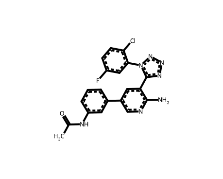 CC(=O)Nc1cccc(-c2cnc(N)c(-c3nnnn3-c3cc(F)ccc3Cl)c2)c1